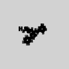 [SiH3]OCC(CI)(CCc1ccccc1)CCc1ccccc1